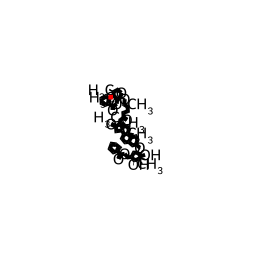 C[C@@H](CCC(=O)[C@@H](C)C1C(=O)CC2C3CCC4CC(O[C@@H]5CC(COC(=O)c6ccccc6)[C@@H](O)[C@H](C)C5O)CCC4(C)C3CCC21C)CO[C@@H]1OC[C@H](C)[C@H](C)C1OC(=O)c1ccccc1